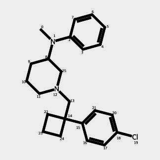 CN(c1ccccc1)C1CCCN(CC2(c3ccc(Cl)cc3)CCC2)C1